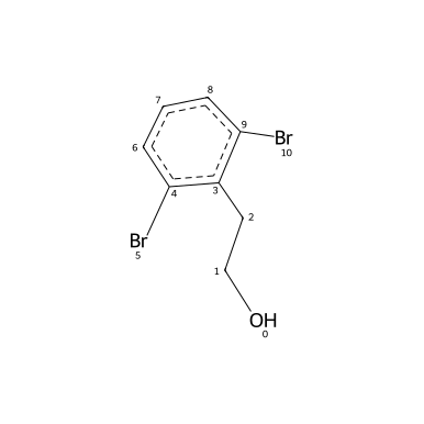 OCCc1c(Br)cccc1Br